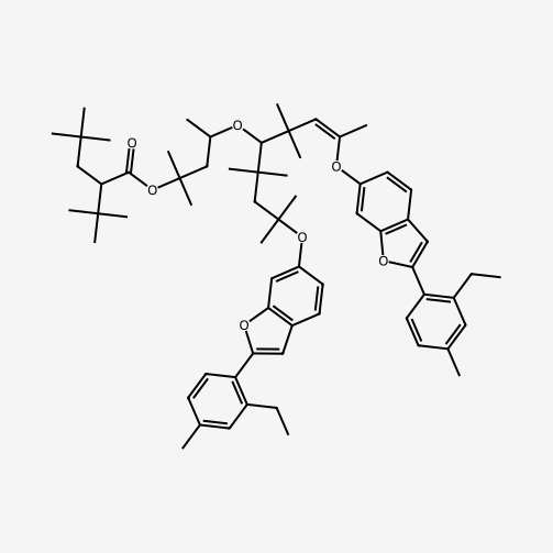 CCc1cc(C)ccc1-c1cc2ccc(O/C(C)=C\C(C)(C)C(OC(C)CC(C)(C)OC(=O)C(CC(C)(C)C)C(C)(C)C)C(C)(C)CC(C)(C)Oc3ccc4cc(-c5ccc(C)cc5CC)oc4c3)cc2o1